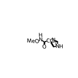 CONC(=O)C(Cl)(Cl)Cl.c1c[nH]cn1